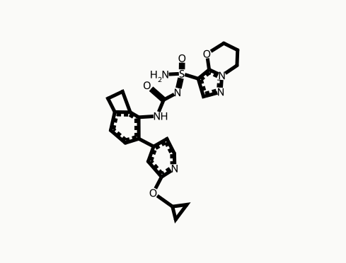 NS(=O)(=NC(=O)Nc1c(-c2ccnc(OC3CC3)c2)ccc2c1CC2)c1cnn2c1OCCC2